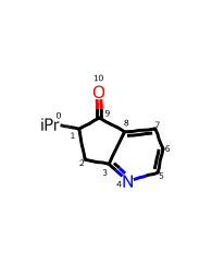 CC(C)C1Cc2ncccc2C1=O